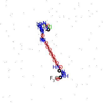 Cc1nc(Nc2ncc(C(=O)Nc3c(C)cccc3Cl)s2)cc(N2CCN(CCOCc3cn(CCOCCOCCOCCOCCOCCOCCOCCNC(=O)c4cccc(-c5cc(Nc6ccc(OC(F)(F)F)cc6)ncn5)c4)nn3)CC2)n1